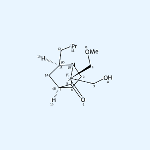 COC[C@@]1(CO)C(=O)[C@H]2CCN1[C@H](CC(C)C)C2